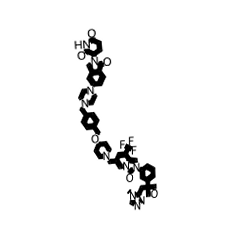 Cn1cnnc1CC1(c2cccc(-n3cc4c(C(F)(F)F)cc(CN5CCC(OCc6ccc(CN7CCN(c8ccc9c(c8)CN(C8CCC(=O)NC8=O)C9=O)CC7)cc6)CC5)cn4c3=O)c2)COC1